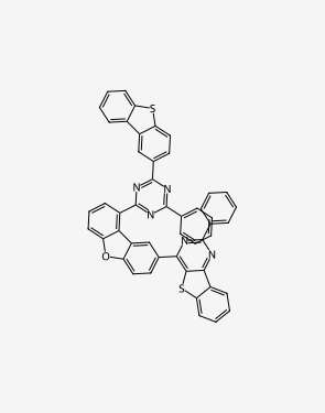 c1ccc(-c2nc(-c3ccc4sc5ccccc5c4c3)nc(-c3cccc4oc5ccc(-c6nc(-c7ccccc7)nc7c6sc6ccccc67)cc5c34)n2)cc1